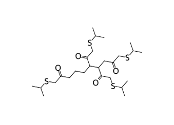 CC(C)SCC(=O)CCCC(C(=O)CSC(C)C)C(CC(=O)CSC(C)C)C(=O)CSC(C)C